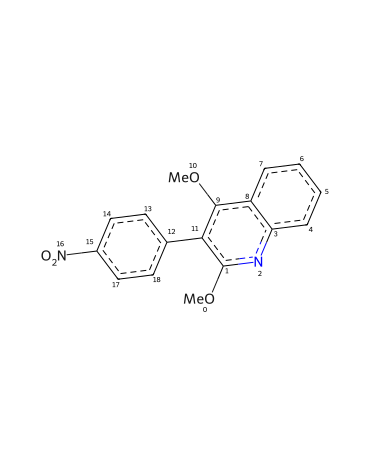 COc1nc2ccccc2c(OC)c1-c1ccc([N+](=O)[O-])cc1